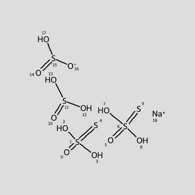 O=S(O)(O)=S.O=S(O)(O)=S.O=S(O)O.O=S([O-])O.[Na+]